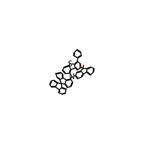 CC1(C)c2ccccc2-c2ccc(N(c3cccc4c3-c3ccccc3C43c4ccccc4-c4ccccc43)c3cccc4sc5c(-c6ccccc6)cccc5c34)cc21